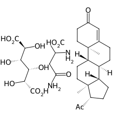 CC(=O)[C@H]1CC[C@H]2[C@@H]3CCC4=CC(=O)CC[C@]4(C)[C@H]3CC[C@]12C.NC(=O)CC(N)C(=O)O.O=C(O)[C@@H](O)[C@@H](O)[C@H](O)[C@@H](O)C(=O)O